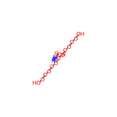 OCCOCCOCCOCCOCCOCCOCCOCCOCCOCCOCCOCCO.[N-]=[N+]=NCC(=O)O